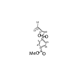 COC(=O)c1ccc(S(=O)(=O)C=C=C(C)C)cc1